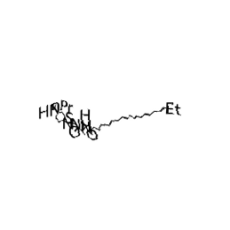 CCC=CCC=CCC=CCC=CCC=CCCCC(=O)NC(C)C(=O)Nc1nc2c(s1)CC(NCCC)CC2